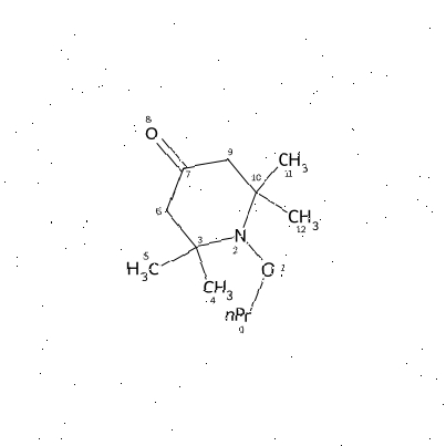 CCCON1C(C)(C)CC(=O)CC1(C)C